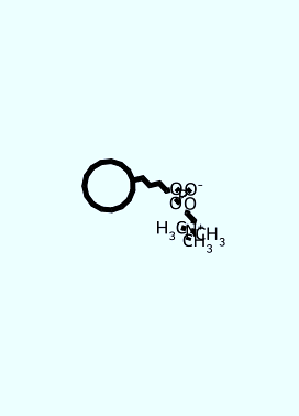 C[N+](C)(C)CCOP(=O)([O-])OCCCCC1CCCCCCCCCCCCCC1